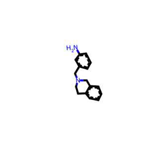 Nc1cccc(CN2CCc3ccccc3C2)c1